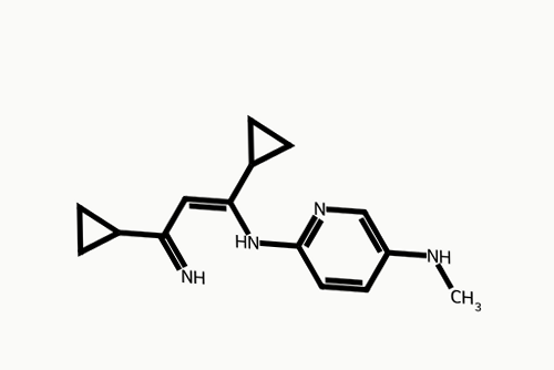 CNc1ccc(N/C(=C\C(=N)C2CC2)C2CC2)nc1